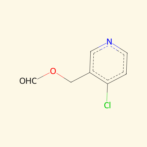 O=COCc1cnccc1Cl